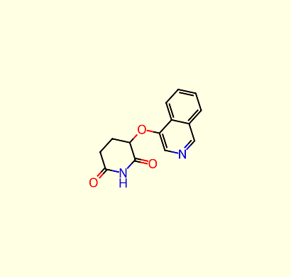 O=C1CCC(Oc2cncc3ccccc23)C(=O)N1